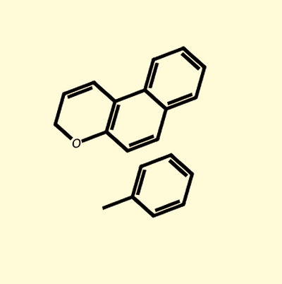 C1=Cc2c(ccc3ccccc23)OC1.Cc1ccccc1